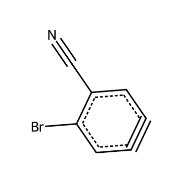 N#Cc1cc#ccc1Br